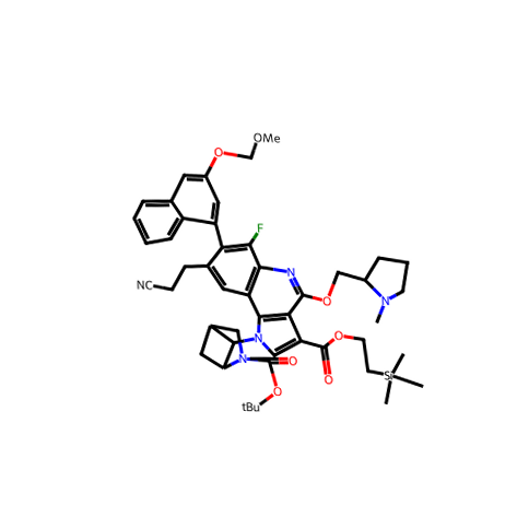 COCOc1cc(-c2c(CCC#N)cc3c(nc(OCC4CCCN4C)c4c(C(=O)OCC[Si](C)(C)C)cn(C5C6CC5N(C(=O)OC(C)(C)C)C6)c43)c2F)c2ccccc2c1